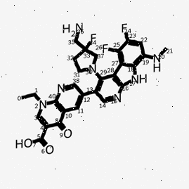 CCn1cc(C(=O)O)c(=O)c2cc(-c3cnc4[nH]c5c(NC)cc(F)c(F)c5c4c3N3CCC(F)(CN)C3)cnc21